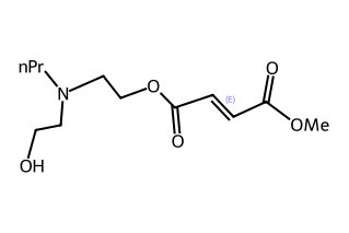 CCCN(CCO)CCOC(=O)/C=C/C(=O)OC